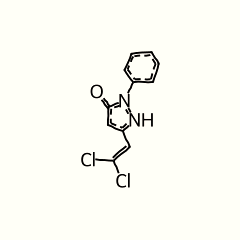 O=c1cc(C=C(Cl)Cl)[nH]n1-c1ccccc1